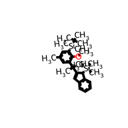 COc1c(C(C)(C)C2=Cc3ccccc3C2[Si](C)(C)C)cc(C)cc1[Si](C)(C)C(C)(C)C